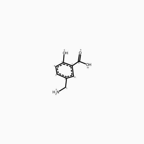 NCc1ccc(O)c(C(=O)O)c1